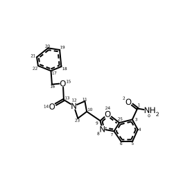 NC(=O)c1cccc2nc(C3CN(C(=O)OCc4ccccc4)C3)oc12